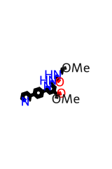 COCCNC(=O)Nc1cc(C(=O)OC)cc(-c2ccc(-c3cccnc3)cc2)n1